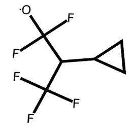 [O]C(F)(F)C(C1CC1)C(F)(F)F